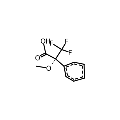 CO[C@@](C(=O)O)(c1ccccc1)C(F)(F)F